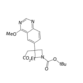 CCOC(=O)CC1(c2ccc3ncnc(OC)c3c2)CN(C(=O)OC(C)(C)C)C1